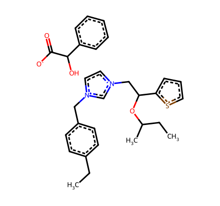 CCc1ccc(C[n+]2ccn(CC(OC(C)CC)c3cccs3)c2)cc1.O=C([O-])C(O)c1ccccc1